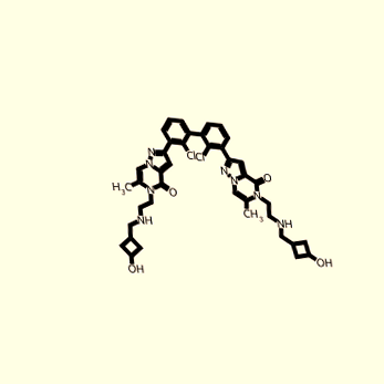 Cc1cn2nc(-c3cccc(-c4cccc(-c5cc6c(=O)n(CCNCC7CC(O)C7)c(C)cn6n5)c4Cl)c3Cl)cc2c(=O)n1CCNCC1CC(O)C1